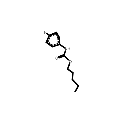 CCCCCOC(=O)Nc1ccc(F)cc1